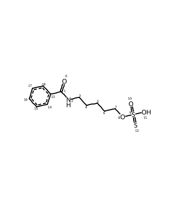 O=C(NCCCCCOS(=O)(O)=S)c1ccccc1